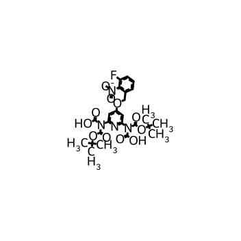 CC(C)(C)OC(=O)N(C(=O)O)c1cc(OCc2cccc(F)c2[N+](=O)[O-])cc(N(C(=O)O)C(=O)OC(C)(C)C)n1